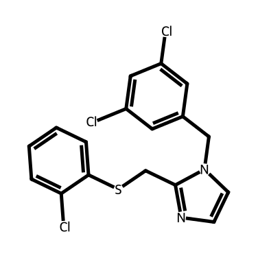 Clc1cc(Cl)cc(Cn2ccnc2CSc2ccccc2Cl)c1